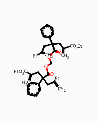 C=C(CC)CC(CC(=C)C(=O)OCC)(C(=O)OCOC(=O)C(CC(=C)CC)(CC(=C)C(=O)OCC)c1ccccc1)c1ccccc1